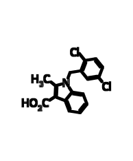 Cc1c(C(=O)O)c2ccccc2n1Cc1cc(Cl)ccc1Cl